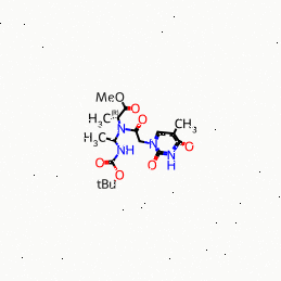 COC(=O)[C@@H](C)N(C(=O)Cn1cc(C)c(=O)[nH]c1=O)C(C)NC(=O)OC(C)(C)C